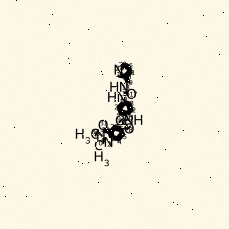 Cc1nc2ccc(S(=O)(=O)Nc3ccc(NC(=O)NCc4cccnc4)cc3)cc2c(=O)n1C